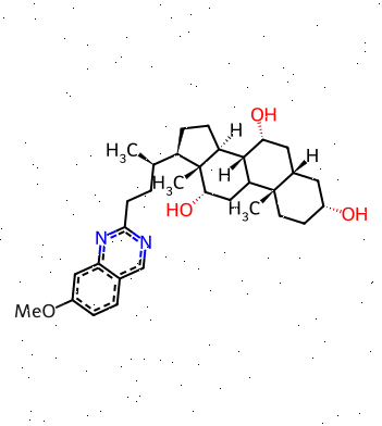 COc1ccc2cnc(CC[C@@H](C)[C@H]3CC[C@H]4[C@H]5C(C[C@H](O)[C@]34C)[C@@]3(C)CC[C@@H](O)C[C@H]3C[C@H]5O)nc2c1